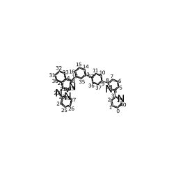 c1ccc(-c2cccc(-c3ccc(-c4cccc(-c5nc6c(nc7ccccn76)c6ccccc56)c4)cc3)n2)nc1